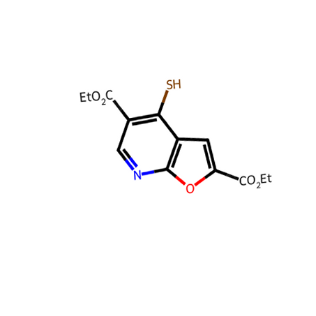 CCOC(=O)c1cc2c(S)c(C(=O)OCC)cnc2o1